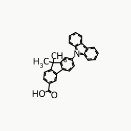 CC1(C)c2ccc(C(=O)O)cc2-c2ccc(-n3c4ccccc4c4ccccc43)cc21